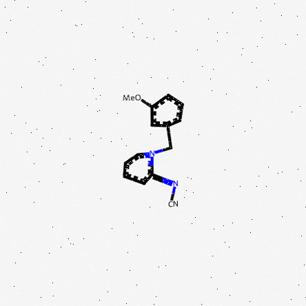 COc1cccc(Cn2ccccc2=NC#N)c1